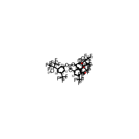 COC(c1cc(OB(Oc2cc(C(F)(F)F)cc(C(OC)(C(F)(F)F)C(F)(F)F)c2)Oc2cc(C(F)(F)F)cc(C(OC)(C(F)(F)F)C(F)(F)F)c2)cc(C(F)(F)F)c1)(C(F)(F)F)C(F)(F)F